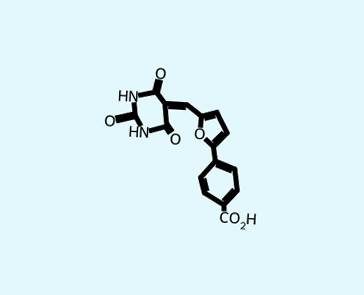 O=C1NC(=O)C(=Cc2ccc(-c3ccc(C(=O)O)cc3)o2)C(=O)N1